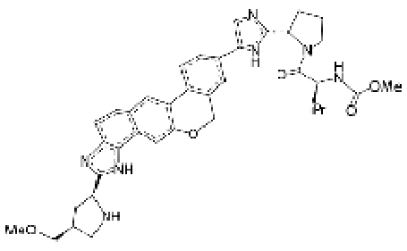 COC[C@@H]1CN[C@H](c2nc3ccc4cc5c(cc4c3[nH]2)OCc2cc(-c3cnc([C@@H]4CCCN4C(=O)[C@@H](NC(=O)OC)C(C)C)[nH]3)ccc2-5)C1